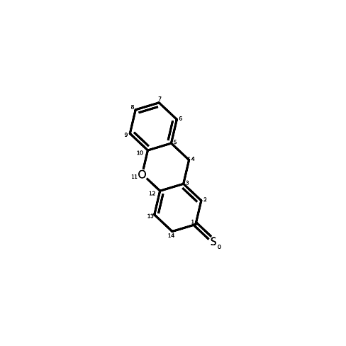 S=C1C=C2[CH]c3ccccc3OC2=CC1